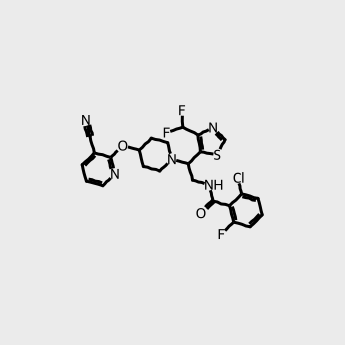 N#Cc1cccnc1OC1CCN(C(CNC(=O)c2c(F)cccc2Cl)c2scnc2C(F)F)CC1